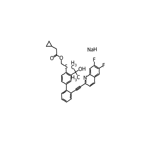 CC(C)(O)c1cc(-c2ccccc2C#Cc2ccc3cc(F)c(F)cc3n2)ccc1SCOC(=O)CC1CC1.[NaH]